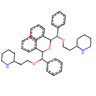 c1ccc(B(OCCC2CCCCN2)C(OC(B(OCCC2CCCCN2)c2ccccc2)c2ccccc2)c2ccccc2)cc1